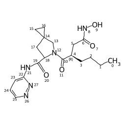 CCCC[C@H](CC(=O)NO)C(=O)N1CC2(CC2)CC1C(=O)Nc1cccnn1